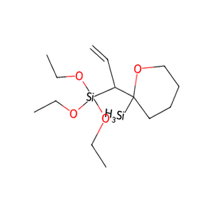 C=CC(C1([SiH3])CCCCO1)[Si](OCC)(OCC)OCC